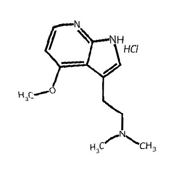 COc1ccnc2[nH]cc(CCN(C)C)c12.Cl